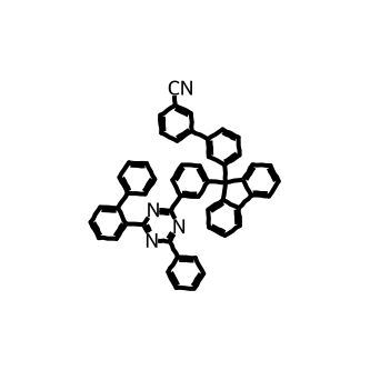 N#Cc1cccc(-c2cccc(C3(c4cccc(-c5nc(-c6ccccc6)nc(-c6ccccc6-c6ccccc6)n5)c4)c4ccccc4-c4ccccc43)c2)c1